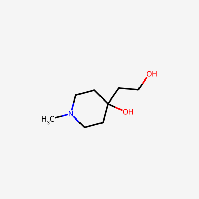 CN1CCC(O)(CCO)CC1